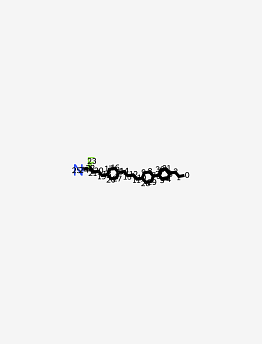 CCCc1ccc(C2CCC(CCCCC3CCC(CCC=C(F)C#N)CC3)CC2)cc1